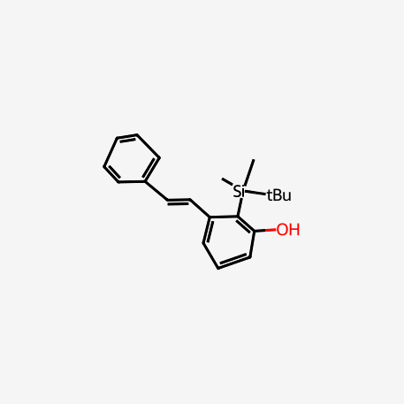 CC(C)(C)[Si](C)(C)c1c(O)cccc1C=Cc1ccccc1